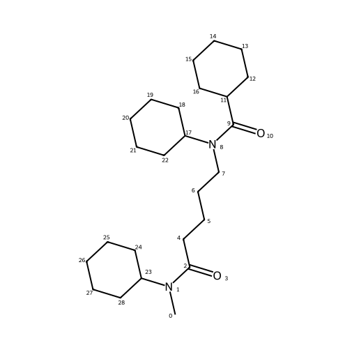 CN(C(=O)CCCCN(C(=O)C1CCCCC1)C1CCCCC1)C1CCCCC1